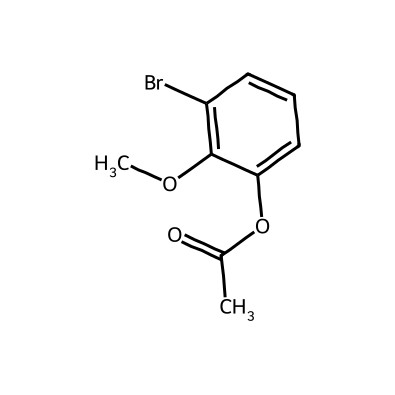 COc1c(Br)cccc1OC(C)=O